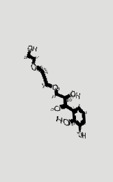 O=C(c1cccc(O)c1O)C(O)COCCOCCO